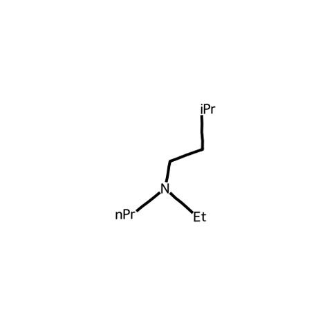 CCCN(CC)CCC(C)C